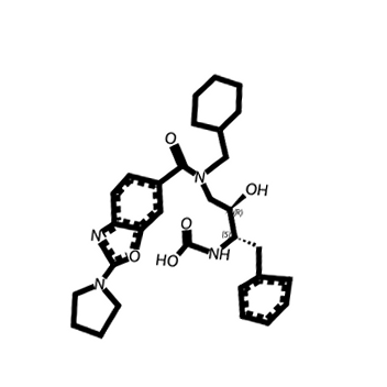 O=C(O)N[C@@H](Cc1ccccc1)[C@H](O)CN(CC1CCCCC1)C(=O)c1ccc2nc(N3CCCC3)oc2c1